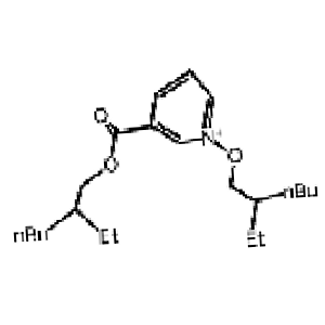 CCCCC(CC)COC(=O)c1ccc[n+](OCC(CC)CCCC)c1